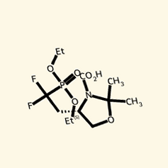 CCOP(=O)(OCC)C(F)(F)C[C@H]1COC(C)(C)N1C(=O)O